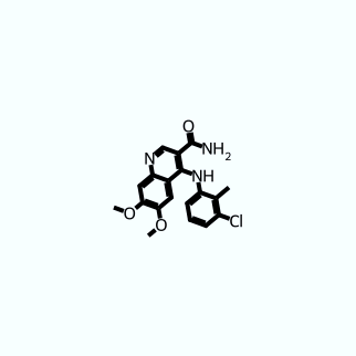 COc1cc2ncc(C(N)=O)c(Nc3cccc(Cl)c3C)c2cc1OC